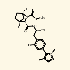 Cc1cnn(C)c1-c1ccc(C[C@@H](C#N)NC(=O)[C@@H]2[C@H]3CC[C@H](C3)N2C(=O)OC(C)(C)C)c(F)c1